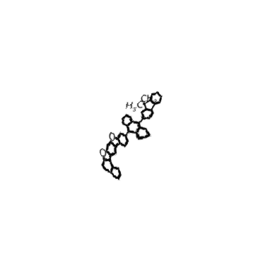 CC1(C)c2ccccc2-c2ccc(-c3c4ccccc4c(-c4ccc5c(c4)oc4cc6oc7ccc8ccccc8c7c6cc45)c4ccccc34)cc21